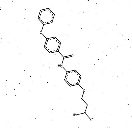 CC(C)N(CCOc1ccc(NC(=O)c2ccc(Oc3ccccc3)cc2)cc1)C(C)C